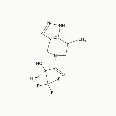 CC1CN(C(=O)C(C)(O)C(F)(F)F)Cc2cn[nH]c21